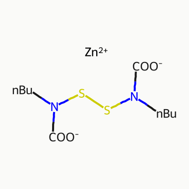 CCCCN(SSN(CCCC)C(=O)[O-])C(=O)[O-].[Zn+2]